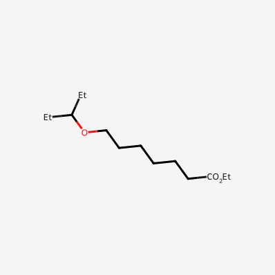 CCOC(=O)CCCCCCOC(CC)CC